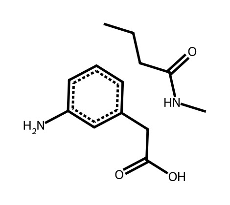 CCCC(=O)NC.Nc1cccc(CC(=O)O)c1